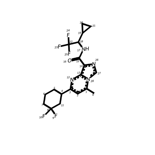 Cc1cc(C2CCCC(F)(F)C2)nc2c(C(=O)NC(C3CC3)C(F)(F)F)ncn12